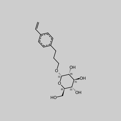 C=Cc1ccc(CCCO[C@H]2O[C@H](CO)[C@@H](O)[C@H](O)[C@H]2O)cc1